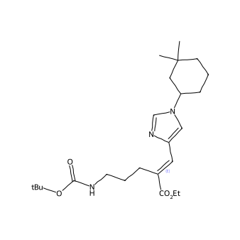 CCOC(=O)/C(=C/c1cn(C2CCCC(C)(C)C2)cn1)CCCNC(=O)OC(C)(C)C